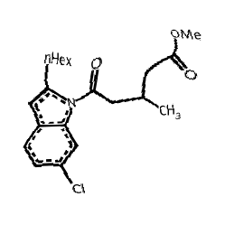 CCCCCCc1cc2ccc(Cl)cc2n1C(=O)CC(C)CC(=O)OC